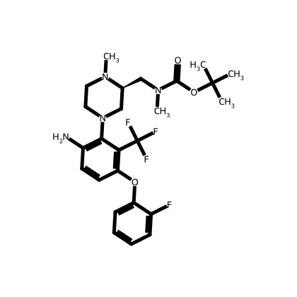 CN(C[C@H]1CN(c2c(N)ccc(Oc3ccccc3F)c2C(F)(F)F)CCN1C)C(=O)OC(C)(C)C